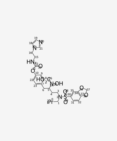 CC(C)CN(CCC(Cc1ccc(OC(=O)NCCn2ccnc2)cc1)N(O)C(=O)O)S(=O)(=O)c1ccc2c(c1)OCO2